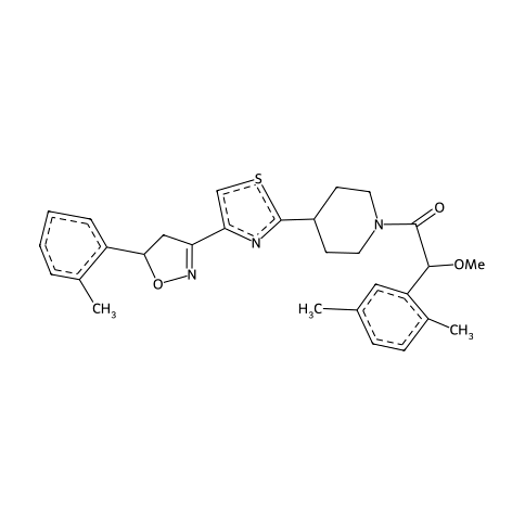 COC(C(=O)N1CCC(c2nc(C3=NOC(c4ccccc4C)C3)cs2)CC1)c1cc(C)ccc1C